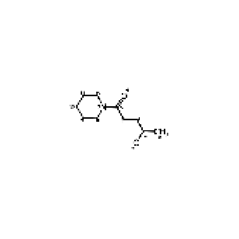 CC([O])CCC(=O)N1CCCCC1